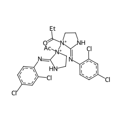 CCC(=O)[N+]1([N+]2(C(C)=O)CCNC2=Nc2ccc(Cl)cc2Cl)CCNC1=Nc1ccc(Cl)cc1Cl